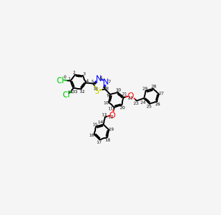 Clc1ccc(-c2nnc(-c3cc(OCc4ccccc4)cc(OCc4ccccc4)c3)s2)cc1Cl